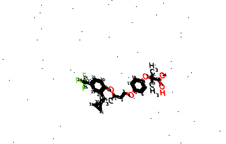 C[C@H](CCOc1ccc(OC(C)(C)C(=O)O)cc1)Oc1ccc(C(F)(F)F)cc1CC1CC1